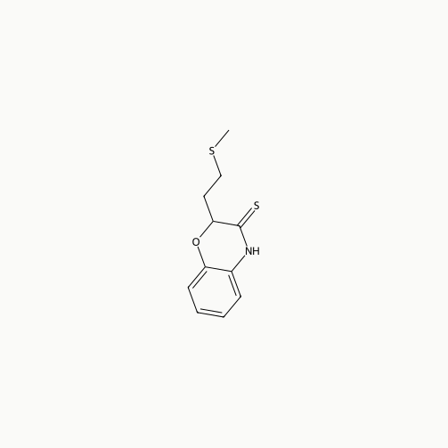 CSCCC1Oc2ccccc2NC1=S